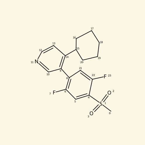 CS(=O)(=O)c1cc(F)c(-c2cnccc2C2CCCCC2)cc1F